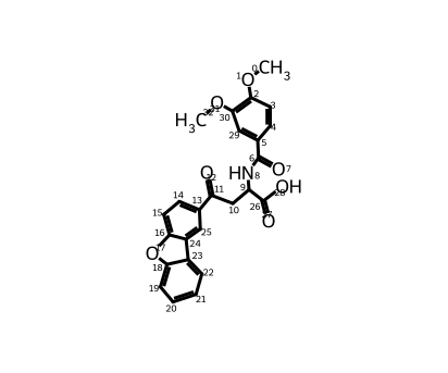 COc1ccc(C(=O)NC(CC(=O)c2ccc3oc4ccccc4c3c2)C(=O)O)cc1OC